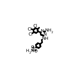 Cc1c(-c2cc(NCCc3ccc(S(N)(=O)=O)cc3)nc(N)n2)cc(Cl)c(Cl)c1Cl